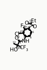 CCS(=O)(=O)c1ccc(NC(=O)C(C)(O)C(F)(F)F)c(Cl)c1F